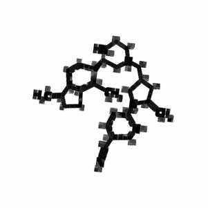 C=C1CCc2c1ccc([C@@H]1CN(CC3CC(=C)N(c4ccc(C#N)cn4)C3)CCN1)c2C